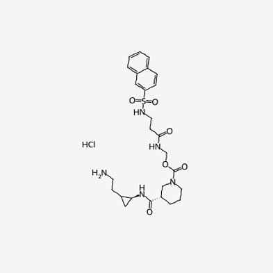 Cl.NCCC1C[C@@H]1NC(=O)[C@H]1CCCN(C(=O)OCNC(=O)CCNS(=O)(=O)c2ccc3ccccc3c2)C1